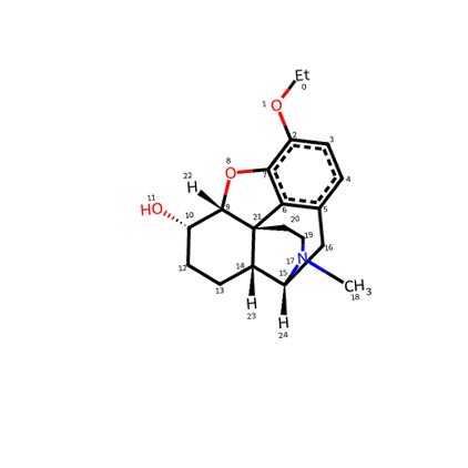 CCOc1ccc2c3c1O[C@H]1[C@@H](O)CC[C@H]4[C@@H](C2)N(C)CC[C@@]341